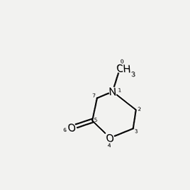 CN1CCOC(=O)C1